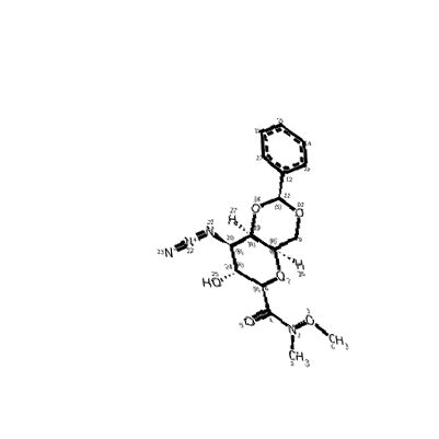 CON(C)C(=O)[C@@H]1O[C@@H]2CO[C@H](c3ccccc3)O[C@@H]2[C@H](N=[N+]=[N-])[C@H]1O